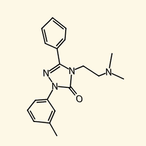 Cc1cccc(-n2nc(-c3ccccc3)n(CCN(C)C)c2=O)c1